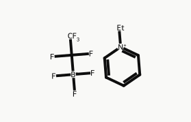 CC[n+]1ccccc1.F[B-](F)(F)C(F)(F)C(F)(F)F